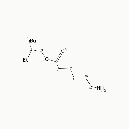 CCCCC(CC)COC(=O)CCCCCN